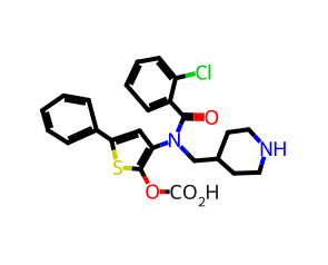 O=C(O)Oc1sc(-c2ccccc2)cc1N(CC1CCNCC1)C(=O)c1ccccc1Cl